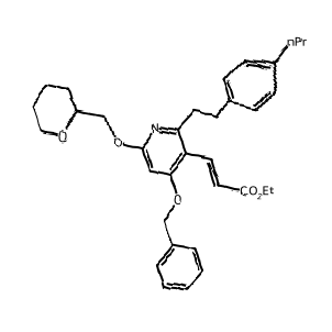 CCCc1ccc(CCc2nc(OCC3CCCCO3)cc(OCc3ccccc3)c2/C=C/C(=O)OCC)cc1